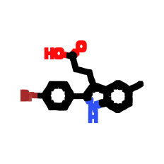 Cc1ccc2[nH]c(-c3ccc(Br)cc3)c(CCC(=O)O)c2c1